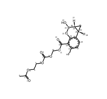 CC(=O)OCCOC(=O)OCOC(=O)c1c(F)ccc2c1OB(O)[C@@H]1C[C@H]21